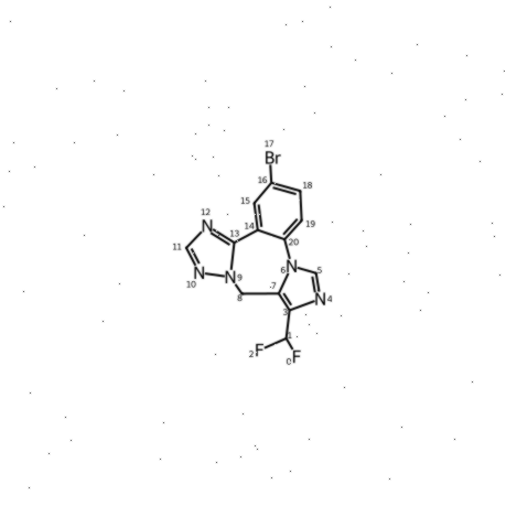 FC(F)c1ncn2c1Cn1ncnc1-c1cc(Br)ccc1-2